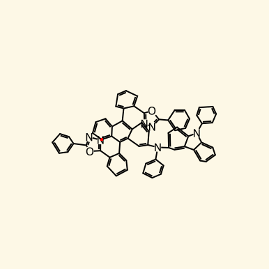 c1ccc(-c2nnc(-c3ccccc3-c3c4ccccc4c(-c4ccccc4-c4nnc(-c5ccccc5)o4)c4cc(N(c5ccccc5)c5ccc6c(c5)c5ccccc5n6-c5ccccc5)ccc34)o2)cc1